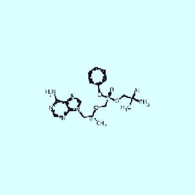 CC(=O)C(C)(C)COP(=O)(CO[C@H](C)Cn1cnc2c(N)ncnc21)Oc1ccccc1